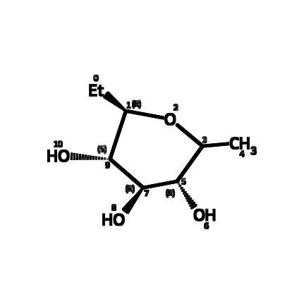 CC[C@H]1OC(C)[C@H](O)[C@@H](O)[C@@H]1O